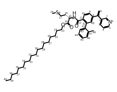 C=C(c1cccnc1)c1ccc(C(=O)N[C@@H](CCSC)C(=O)OCCCCCCCCCCCCCCCCCC)c(-c2ccccc2C)c1